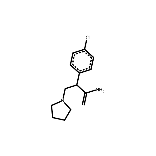 C=C(N)C(CN1CCCC1)c1ccc(Cl)cc1